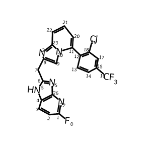 Fc1ccc2[nH]c(Cc3cn4c(-c5ccc(C(F)(F)F)cc5Cl)cccc4n3)nc2n1